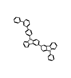 C1=c2c(n(-c3ccccc3)c3ccccc23)=CCC1c1ccc2c(c1)c1ccccc1n2-c1ccc(-c2cccc(-c3ccccc3)c2)cc1